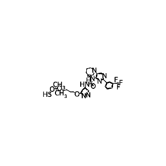 CC(C)(OS)OCCCCOc1cc(NC(=O)N2c3nc(-c4cccc(C(F)(F)F)c4)ncc3N3CCC[C@H]2C3)cnn1